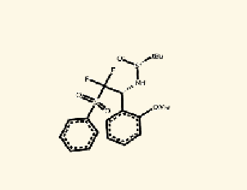 COc1ccccc1[C@@H](N[S@@+]([O-])C(C)(C)C)C(F)(F)S(=O)(=O)c1ccccc1